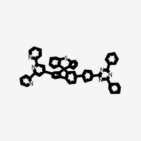 c1ccc(-c2nc(-c3ccccc3)nc(-c3ccc(-c4ccc5c(c4)C4(c6ccccc6Sc6ccccc64)c4cc(-c6cc(-c7ccccn7)nc(-c7ccccn7)c6)ccc4-5)cc3)n2)cc1